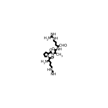 CC(NC(=O)C1CCCN1C(=O)C(N)CCCNC=N)C(=O)NC(C=O)CCCNC(=N)N